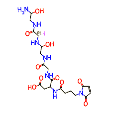 NC(O)CNC(=O)[C@H](I)NC(O)CNC(=O)CNC(=O)C(CC(=O)O)NC(=O)CCCN1C(=O)C=CC1=O